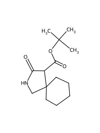 CC(C)(C)OC(=O)C1C(=O)NCC12CCCCC2